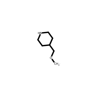 [CH2]OCC1CCNCC1